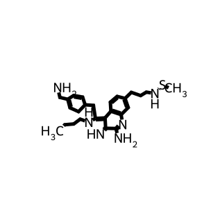 CCCCN/C(CC1C=CC(CN)=CC1)=C1\C(=N)C(N)=Nc2cc(CCCNSC)ccc21